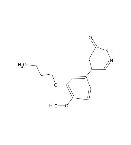 CCCCOc1cc(C2C=NNC(=O)C2)ccc1OC